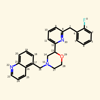 Fc1ccccc1Cc1cccc(C2CN(Cc3cccc4ncccc34)CCO2)n1